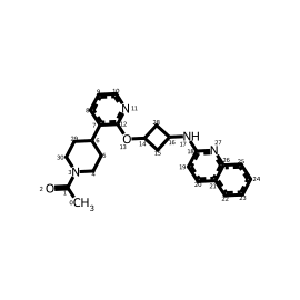 CC(=O)N1CCC(c2cccnc2OC2CC(Nc3ccc4ccccc4n3)C2)CC1